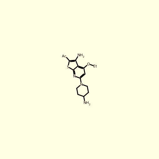 CCOc1cc(N2CCC(N)CC2)nc2sc(C(C)=O)c(N)c12